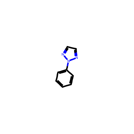 c1ccc(-n2nccn2)cc1